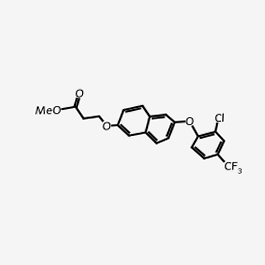 COC(=O)CCOc1ccc2cc(Oc3ccc(C(F)(F)F)cc3Cl)ccc2c1